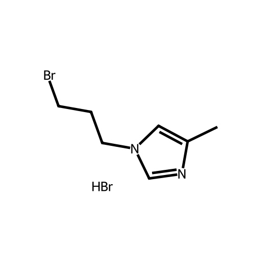 Br.Cc1cn(CCCBr)cn1